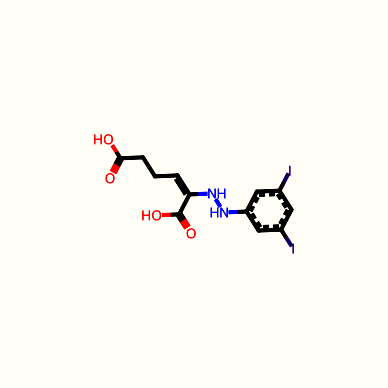 O=C(O)CCC=C(NNc1cc(I)cc(I)c1)C(=O)O